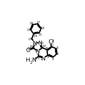 Nc1nc2cccc(Cl)c2c2nn(Cc3ccccc3)c(=O)n12